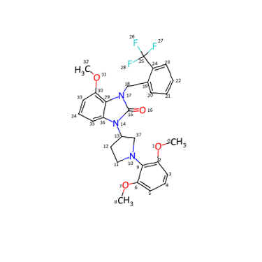 COc1cccc(OC)c1N1CCC(n2c(=O)n(Cc3ccccc3C(F)(F)F)c3c(OC)cccc32)C1